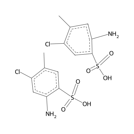 Cc1cc(N)c(S(=O)(=O)O)cc1Cl.Cc1cc(S(=O)(=O)O)c(N)cc1Cl